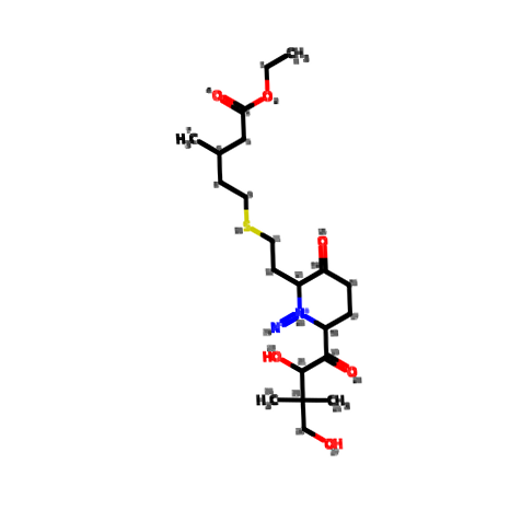 CCOC(=O)CC(C)CCSCCC1C(=O)CCC(C(=O)C(O)C(C)(C)CO)[N+]1=[N-]